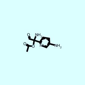 CC(=O)OC(N)(C=O)c1ccc(N)cn1